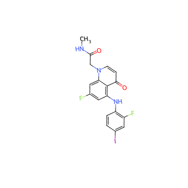 CNC(=O)Cn1ccc(=O)c2c(Nc3ccc(I)cc3F)cc(F)cc21